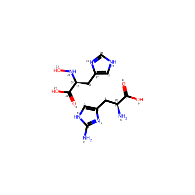 Nc1nc(C[C@H](N)C(=O)O)c[nH]1.O=C(O)[C@H](Cc1c[nH]cn1)NO